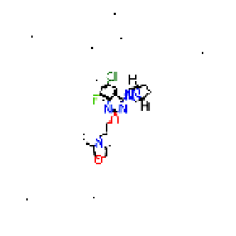 C[C@@H]1COC[C@@H](C)N1CCCOc1nc(N2C[C@H]3CC[C@@H](C2)N3)c2cc(Cl)cc(F)c2n1